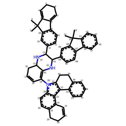 CC1(C)C2=CCCC=C2c2ccc(C3NC4CC=CC(n5c6c(c7c8c(ccc75)CCC=C8)-c5ccccc5CC6)=C4NC3c3ccc4c(c3)C(C)(C)c3ccccc3-4)cc21